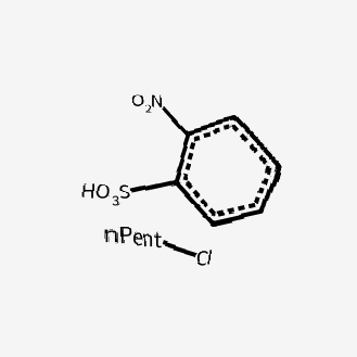 CCCCCCl.O=[N+]([O-])c1ccccc1S(=O)(=O)O